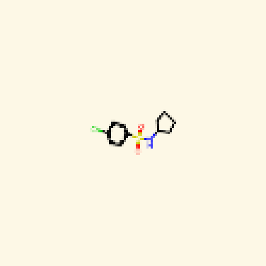 O=S(=O)(NC1CCCC1)c1ccc(Cl)cc1